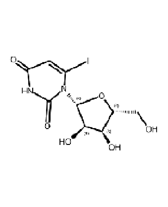 O=c1cc(I)n([C@@H]2O[C@H](CO)[C@@H](O)[C@H]2O)c(=O)[nH]1